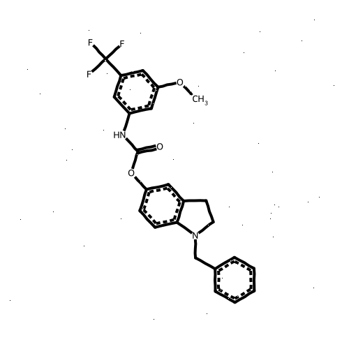 COc1cc(NC(=O)Oc2ccc3c(c2)CCN3Cc2ccccc2)cc(C(F)(F)F)c1